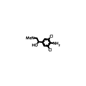 CNCC(O)c1cc(Cl)c(N)c(Cl)c1